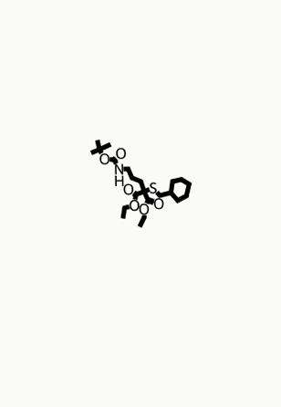 CCOC(=O)C(CCCNC(=O)OC(C)(C)C)(SCC1CCCCC1)C(=O)OCC